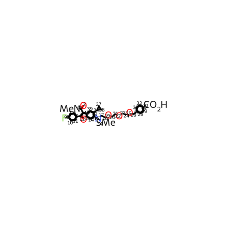 CNC(=O)c1c(-c2ccc(F)cc2)oc2cc(N(CCOCCOCCOCc3ccc(C(=O)O)cc3)SC)c(C3CC3)cc12